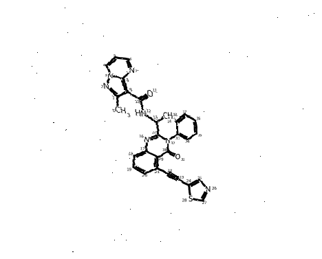 Cc1nn2cccnc2c1C(=O)N[C@@H](C)c1nc2cccc(C#Cc3cncs3)c2c(=O)n1-c1ccccc1